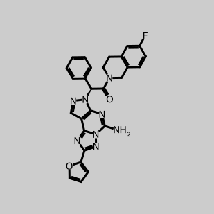 Nc1nc2c(cnn2[C@H](C(=O)N2CCc3cc(F)ccc3C2)c2ccccc2)c2nc(-c3ccco3)nn12